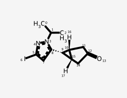 CC(C)n1nc(I)cc1[C@@H]1[C@@H]2CC(=O)C[C@@H]21